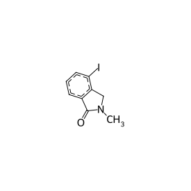 CN1Cc2c(I)cccc2C1=O